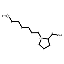 CCOC(=O)CCCCCCN1CCCC1CO